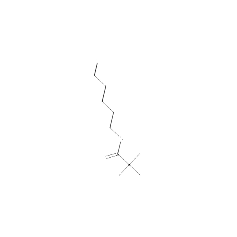 CC(C)(C)C(=O)NCCCCCO